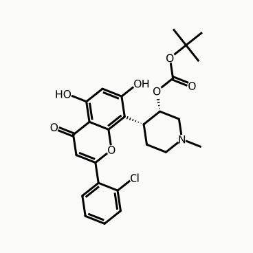 CN1CC[C@H](c2c(O)cc(O)c3c(=O)cc(-c4ccccc4Cl)oc23)[C@H](OC(=O)OC(C)(C)C)C1